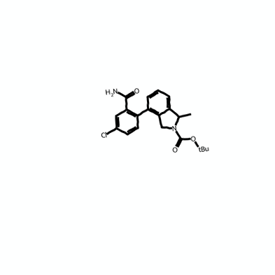 CC1c2cccc(-c3ccc(Cl)cc3C(N)=O)c2CN1C(=O)OC(C)(C)C